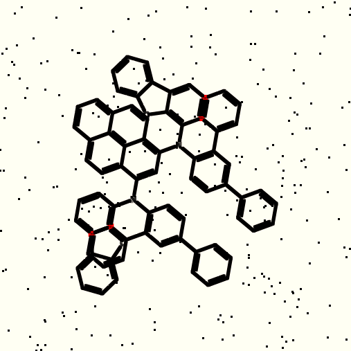 c1ccc(-c2ccc(N(c3cc(N(c4ccc(-c5ccccc5)cc4-c4ccccc4)c4cccc5c4oc4ccccc45)c4ccc5cccc6ccc3c4c65)c3cccc4c3oc3ccccc34)c(-c3ccccc3)c2)cc1